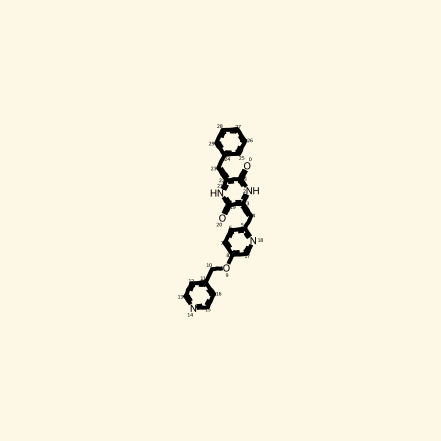 O=c1[nH]c(=Cc2ccc(OCc3ccncc3)cn2)c(=O)[nH]c1=Cc1ccccc1